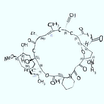 C#C[C@H]1C/C(C)=C\[C@@H](CC)C(=O)C[C@H](O)[C@@H](C)[C@@H](/C(C)=C\[C@@H]2CC[C@@H](O)[C@H](OC)C2)OC(=O)[C@@H]2CCCCN2C(=O)C(=O)[C@@]2(O)O[C@@H]([C@@H](C(=O)I)C1)[C@H](C(=O)I)C[C@@H]2C